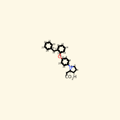 O=C(O)CC1CCCN1c1ccc(Oc2ccccc2Cc2ccccc2)cc1